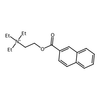 CC[N+](CC)(CC)CCOC(=O)c1ccc2ccccc2c1